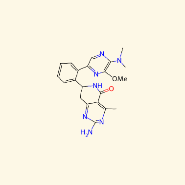 COc1nc(-c2ccccc2C2Cc3nc(N)nc(C)c3C(=O)N2)cnc1N(C)C